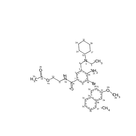 C.CCN(Cc1cc(C(=O)NCCOC(C)=O)cc(Br)c1N)C1CCCCC1.COc1ccc2ccccc2c1